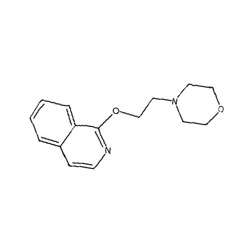 c1ccc2c(OCCN3CCOCC3)nccc2c1